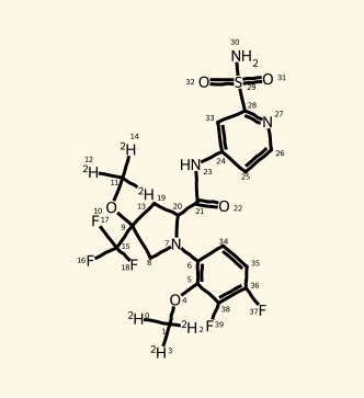 [2H]C([2H])([2H])Oc1c(N2CC(OC([2H])([2H])[2H])(C(F)(F)F)CC2C(=O)Nc2ccnc(S(N)(=O)=O)c2)ccc(F)c1F